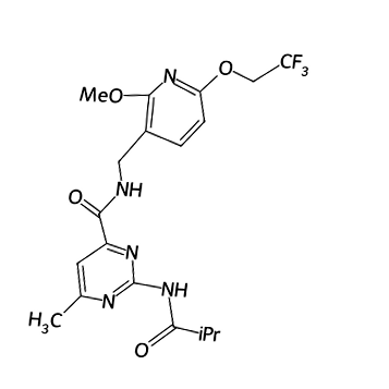 COc1nc(OCC(F)(F)F)ccc1CNC(=O)c1cc(C)nc(NC(=O)C(C)C)n1